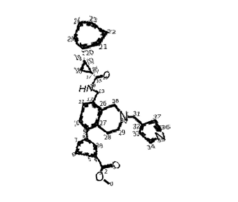 COC(=O)c1cccc(-c2ccc(CNC(=O)[C@@H]3C[C@@H]3c3ccccc3)c3c2CCN(Cc2ccncc2)C3)c1